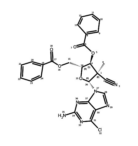 C[C@@]1(C#N)[C@H](OC(=O)c2ccccc2)[C@@H](COC(=O)c2ccccc2)O[C@H]1n1cnc2c(Cl)nc(N)nc21